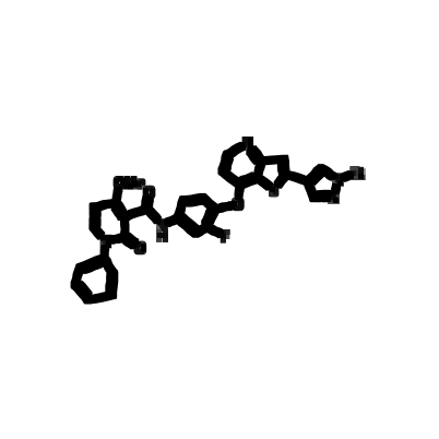 CCn1cc(-c2cc3nccc(Oc4ccc(NC(=O)c5c(OC)ccn(-c6ccccc6)c5=O)cc4F)c3s2)cn1